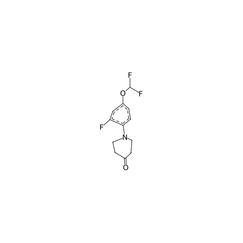 O=C1CCN(c2ccc(OC(F)F)cc2F)CC1